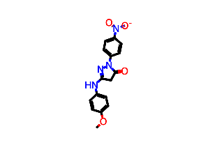 COc1ccc(NC2=NN(c3ccc([N+](=O)[O-])cc3)C(=O)C2)cc1